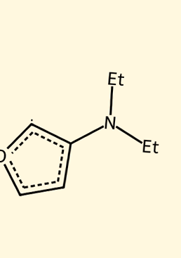 CCN(CC)c1[c]occ1